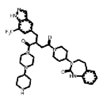 O=C(CC(Cc1cc(C(F)(F)F)c2[nH]ncc2c1)C(=O)N1CCN(C2CCNCC2)CC1)N1CCC(N2CCc3ccccc3NC2=O)CC1